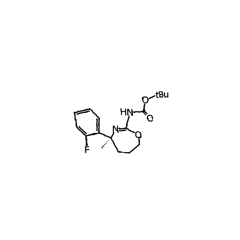 CC(C)(C)OC(=O)NC1=N[C@](C)(c2ccccc2F)CCCO1